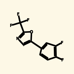 Fc1ccc(-c2[c]nc(C(F)(F)F)o2)cc1F